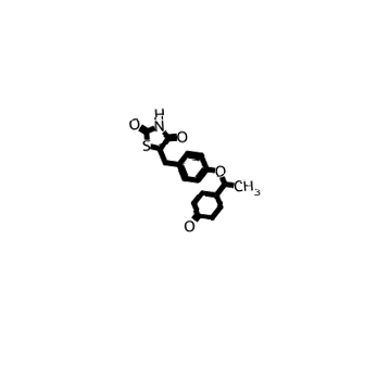 CC(Oc1ccc(CC2SC(=O)NC2=O)cc1)C1CCC(=O)CC1